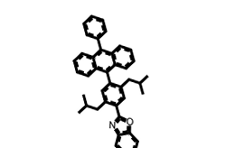 CC(C)Cc1cc(-c2c3ccccc3c(-c3ccccc3)c3ccccc23)c(CC(C)C)cc1-c1nc2ccccc2o1